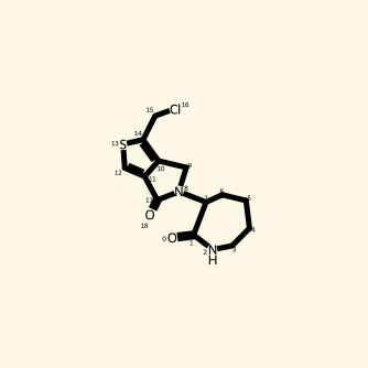 O=C1NCCCCC1N1Cc2c(csc2CCl)C1=O